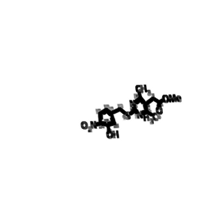 COC(=O)Cc1c(C)nc(SCc2ccc([N+](=O)[O-])c(O)c2)nc1C